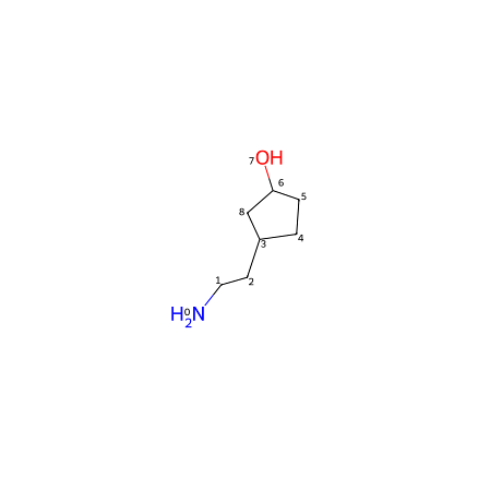 NCCC1CCC(O)C1